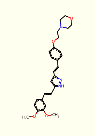 COc1ccc(C=Cc2cc(C=Cc3ccc(OCCN4CCOCC4)cc3)n[nH]2)cc1OC